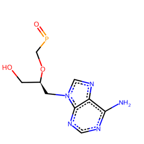 Nc1ncnc2c1ncn2C[C@@H](CO)OCP=O